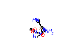 CCCN(CCCNC(=O)OC1CCC1)C(=O)C1=Cc2sc(C#CC3CCNCC3)cc2N=C(N)C1